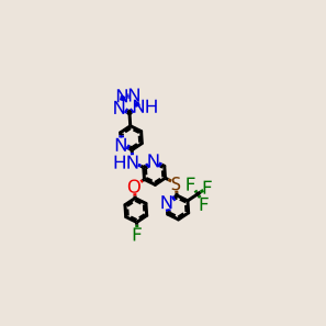 Fc1ccc(Oc2cc(Sc3ncccc3C(F)(F)F)cnc2Nc2ccc(-c3nnn[nH]3)cn2)cc1